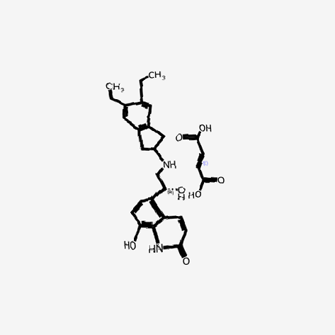 CCc1cc2c(cc1CC)CC(NC[C@H](O)c1ccc(O)c3[nH]c(=O)ccc13)C2.O=C(O)/C=C/C(=O)O